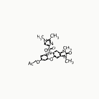 CC(=O)COc1cccc(Oc2cc3c(cc2NS(=O)(=O)c2cn(C)c(C)n2)n(C)c(=O)n3C)c1